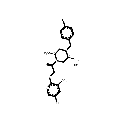 C[C@@H]1CN(Cc2ccc(F)cc2)[C@@H](C)CN1C(=O)CNc1ncc(Cl)cc1C(=O)O.Cl